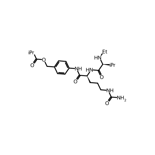 CCN[C@H](C(=O)N[C@@H](CCCNC(N)=O)C(=O)Nc1ccc(COC(=O)C(C)C)cc1)C(C)C